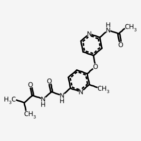 CC(=O)Nc1cc(Oc2ccc(NC(=O)NC(=O)C(C)C)nc2C)ccn1